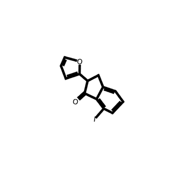 O=C1c2c(I)cccc2CC1c1ccco1